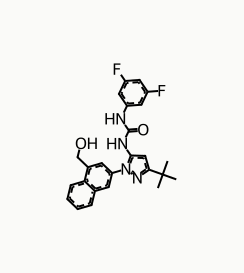 CC(C)(C)c1cc(NC(=O)Nc2cc(F)cc(F)c2)n(-c2cc(CO)c3ccccc3c2)n1